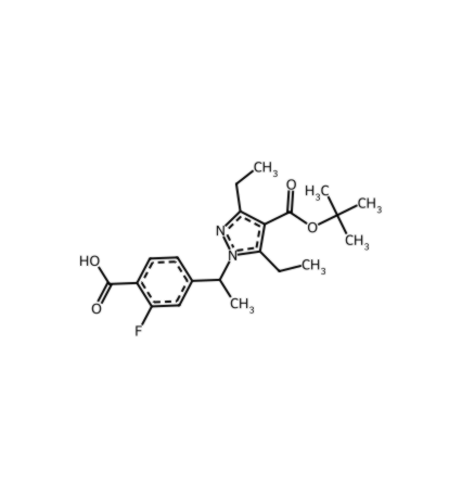 CCc1nn(C(C)c2ccc(C(=O)O)c(F)c2)c(CC)c1C(=O)OC(C)(C)C